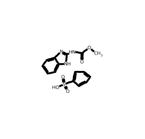 COC(=O)Nc1nc2ccccc2[nH]1.O=S(=O)(O)c1ccccc1